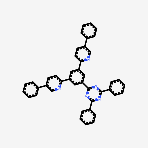 c1ccc(-c2ccc(-c3cc(-c4ccc(-c5ccccc5)cn4)cc(-c4nc(-c5ccccc5)nc(-c5ccccc5)n4)c3)nc2)cc1